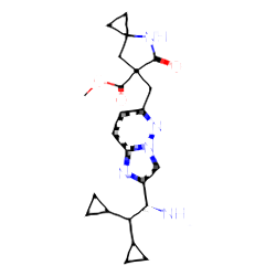 COC(=O)C1(Cc2ccc3nc([C@@H](N)C(C4CC4)C4CC4)cn3n2)CC2(CC2)NC1=O